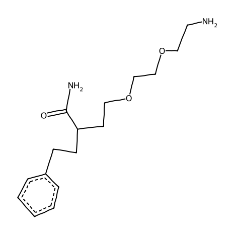 NCCOCCOCCC(CCc1ccccc1)C(N)=O